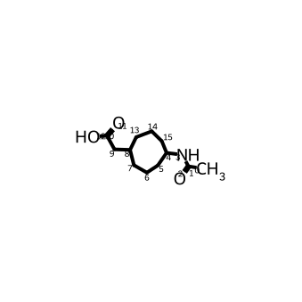 CC(=O)NC1CCCC(CC(=O)O)CCC1